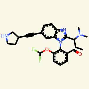 CCC(c1nc2ccc(C#CC3CCNC3)cc2n1-c1c(C=O)cccc1OC(F)F)N(C)C